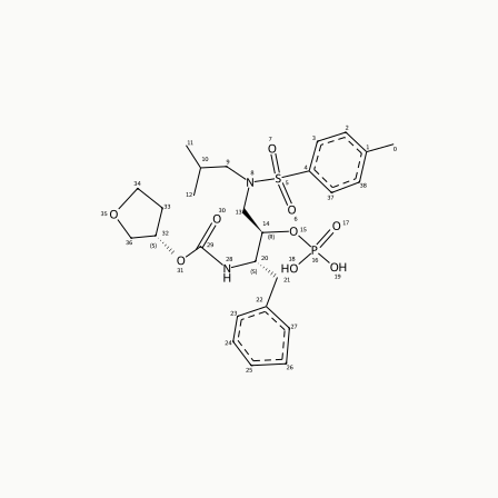 Cc1ccc(S(=O)(=O)N(CC(C)C)C[C@@H](OP(=O)(O)O)[C@H](Cc2ccccc2)NC(=O)O[C@H]2CCOC2)cc1